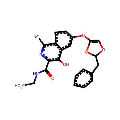 N#Cc1nc(C(=O)NCC(=O)O)c(O)c2cc(OC3=COC(Cc4ccccc4)O3)ccc12